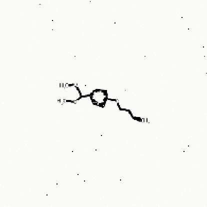 C=CCCOc1ccc(C(OC)OC)cc1